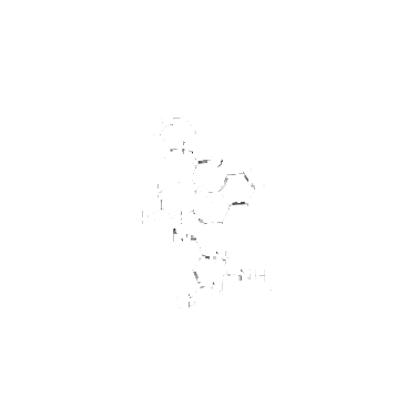 Nc1nc(Cl)cc(-c2nn(C(F)F)cc2Cc2ccccc2OCC(=O)N2CCOCC2)n1